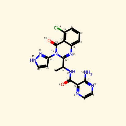 CC(NC(=O)c1nccnc1N)c1nc2cccc(Cl)c2c(=O)n1-c1cc[nH]n1